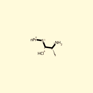 CCCSC[C@@H](C)N.Cl